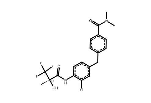 CN(C)C(=O)c1ccc(Cc2ccc(NC(=O)[C@@](C)(O)C(F)(F)F)c(Cl)c2)cc1